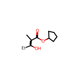 CCC(O)=C(C)C(=O)OC1CCCC1